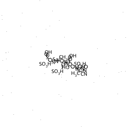 Cc1cc(N=Nc2c(SOOO)cc3c(S(=O)(=O)O)c(N=Nc4c(C)c(C#N)c5nc6ccccc6n5c4O)ccc3c2O)c(OCCCS(=O)(=O)O)cc1N=Nc1nc2c(S(=O)(=O)O)cc(SOOO)cc2s1